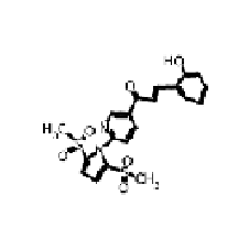 CS(=O)(=O)c1ccc(S(C)(=O)=O)n1-c1ccc(C(=O)C=Cc2ccccc2O)cn1